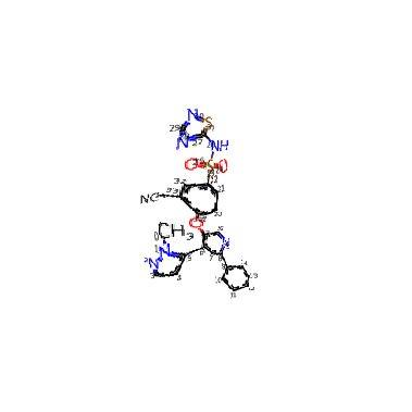 Cn1nccc1-c1cc(-c2ccccc2)ncc1Oc1ccc(S(=O)(=O)Nc2ncns2)cc1C#N